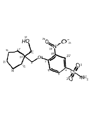 NS(=O)(=O)c1ccc(OCC2(CO)CCCCC2)c([N+](=O)[O-])c1